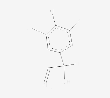 C=CC(O)(c1cc(Cl)c(Cl)c(Cl)c1)C(F)(F)F